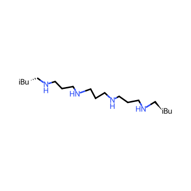 CC[C@@H](C)CNCCCNCCCNCCCNC[C@H](C)CC